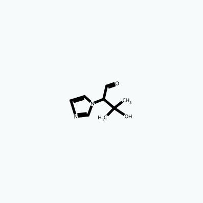 CC(C)(O)C([C]=O)n1ccnc1